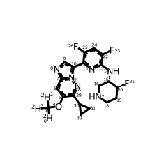 [2H]C([2H])([2H])Oc1cc2ncc(-c3nc(N[C@H]4CNCC[C@@H]4F)c(F)cc3F)n2nc1C1CC1